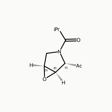 CC(=O)[C@@H]1[C@H]2O[C@H]2CN1C(=O)C(C)C